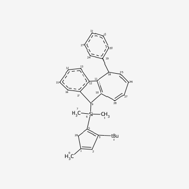 CC1=CC(C(C)(C)C)=C([Si](C)(C)C2C3=C(c4ccccc42)C(c2ccccc2)C=CC=C3)C1